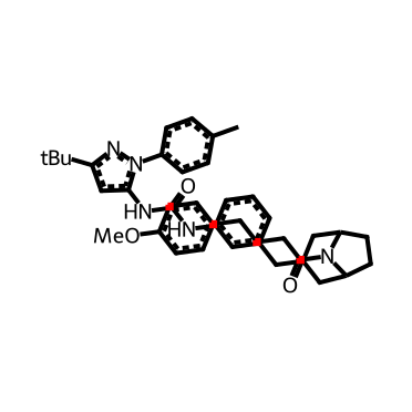 COc1ccc(CCCC(=O)N2C3CCC2CC(Cc2cccc(NC(=O)Nc4cc(C(C)(C)C)nn4-c4ccc(C)cc4)c2)C3)cc1